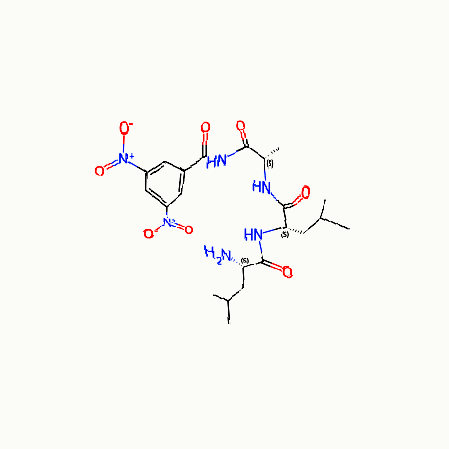 CC(C)C[C@H](NC(=O)[C@@H](N)CC(C)C)C(=O)N[C@@H](C)C(=O)NC(=O)c1cc([N+](=O)[O-])cc([N+](=O)[O-])c1